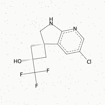 O[C@]1(C(F)(F)F)C[C@@]2(CNc3ncc(Cl)cc32)C1